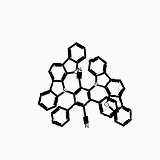 N#Cc1c(-c2ccccc2)c(-n2c3ccccc3c3ccc4c5ccccc5oc4c32)c(C#N)c(-n2c3ccccc3c3ccc4c5ccccc5oc4c32)c1-c1ccccc1